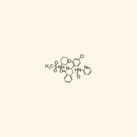 CS(=O)(=O)N[C@H]1CCCC[C@@H]1N1C(=O)c2ccccc2[C@@H](C(=O)Nc2ccccn2)[C@@H]1c1ccc(Cl)cc1Cl